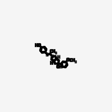 COc1cccc([C@]2(O)C[C@H]3CN(C(C)Sc4ccc(O)cc4)C[C@H]3C2)c1